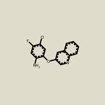 Nc1cc(F)c(Cl)cc1Oc1cnc2ccccc2c1